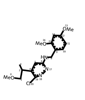 COCC(C)c1cc(NCc2ccc(OC)cc2OC)nnc1Cl